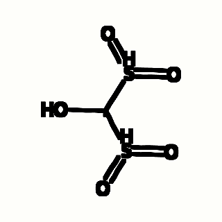 O=[SH](=O)[C](O)[SH](=O)=O